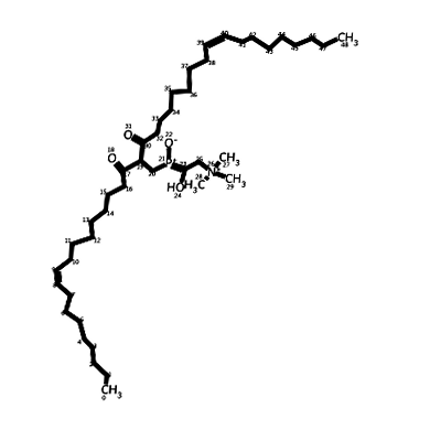 CCCCCCCC/C=C\CCCCCCCC(=O)C(C/[P+]([O-])=C(\O)C[N+](C)(C)C)C(=O)CCCCCCC/C=C\CCCCCCCC